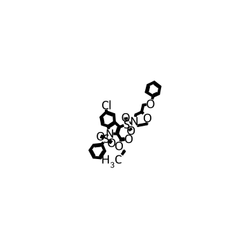 CCOC(=O)c1c(S(=O)(=O)N2CCOC(COc3ccccc3)C2)c2cc(Cl)ccc2n1S(=O)(=O)c1ccccc1